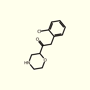 O=C(Cc1ccccc1Cl)C1CNCCO1